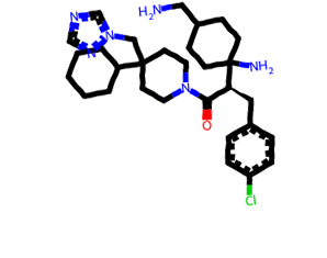 NCC1CCC(N)([C@@H](Cc2ccc(Cl)cc2)C(=O)N2CCC(Cn3cncn3)(C3CCCCC3)CC2)CC1